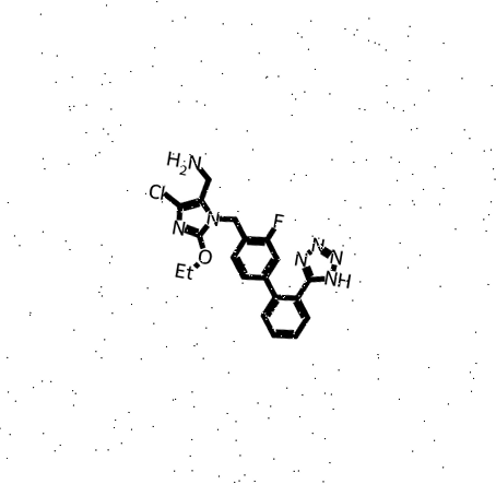 CCOc1nc(Cl)c(CN)n1Cc1ccc(-c2ccccc2-c2nnn[nH]2)cc1F